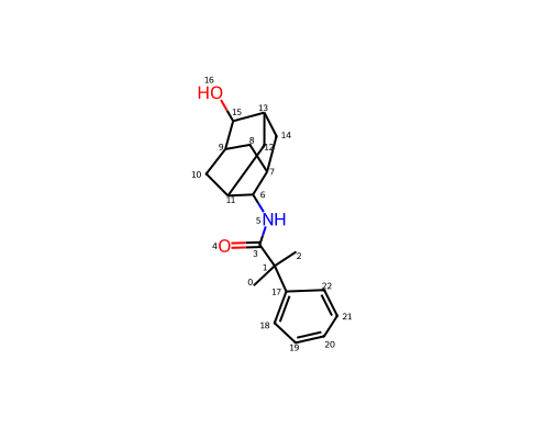 CC(C)(C(=O)NC1C2CC3CC1CC(C2)C3O)c1ccccc1